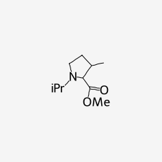 COC(=O)C1C(C)CCN1C(C)C